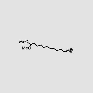 COC(CCCCCCCCC[CH2][Mg][Br])OC